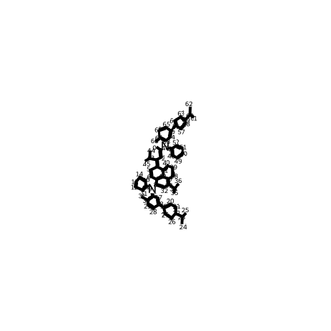 C/C(=C\C(=c1\ccc2c(N(c3ccccc3)c3cc(C4=CCC(C(C)C)CC4)ccc3C)cc(C(C)C)c3cccc1c32)C(C)C)N(c1ccccc1)c1cc(-c2ccc(C(C)C)cc2)ccc1C